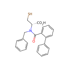 O=C(O)[C@@H](CS)N(Cc1ccccc1)C(=O)c1ccccc1-c1ccccc1